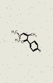 C/C(=C/N(C)C)C(=O)c1ccc(F)cc1